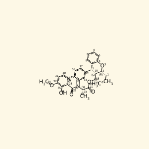 CC[C@@H](Oc1ccccc1)[C@@H](Cc1ccccc1)[C@H](C)OC(=O)[C@H](C)NC(=O)c1nccc(OC)c1O